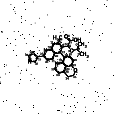 C=C(C)O[C@H](C(=O)O)c1c(C)cc2nc(-c3cncs3)ccc2c1-c1ccc2c3c(ccnc13)CCO2